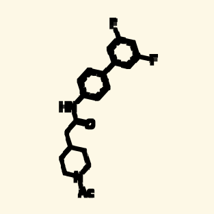 CC(=O)N1CCC(CC(=O)Nc2ccc(-c3cc(F)cc(F)c3)cc2)CC1